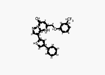 O=c1cc(COc2cccc(C(F)(F)F)c2)[nH]c2c(-c3cc(-c4ccccc4)cs3)cnn12